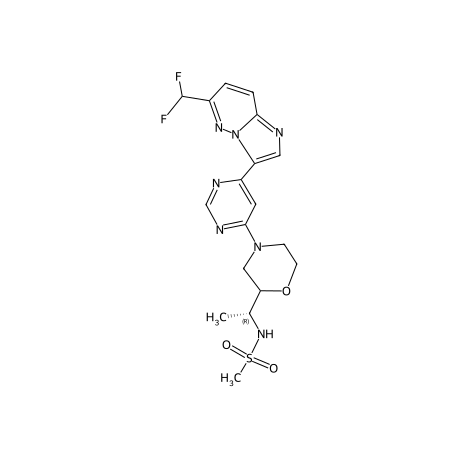 C[C@@H](NS(C)(=O)=O)C1CN(c2cc(-c3cnc4ccc(C(F)F)nn34)ncn2)CCO1